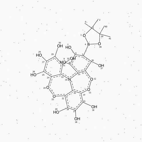 CC1(C)OB(c2c(O)c(O)c3c(ooc4c(O)c(O)c(O)c5ooc6c(O)c(O)c(O)c(O)c6n3c54)c2O)OC1(C)C